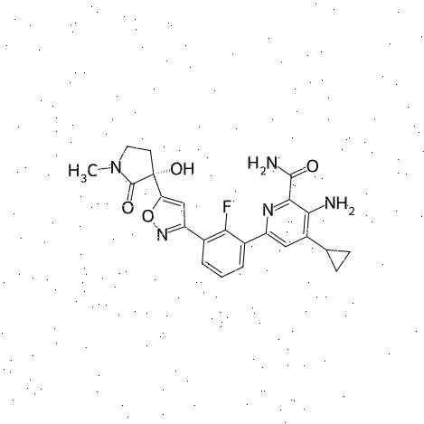 CN1CC[C@@](O)(c2cc(-c3cccc(-c4cc(C5CC5)c(N)c(C(N)=O)n4)c3F)no2)C1=O